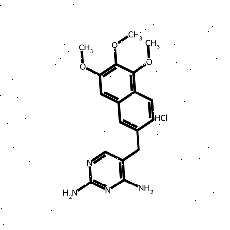 COc1cc2cc(Cc3cnc(N)nc3N)ccc2c(OC)c1OC.Cl